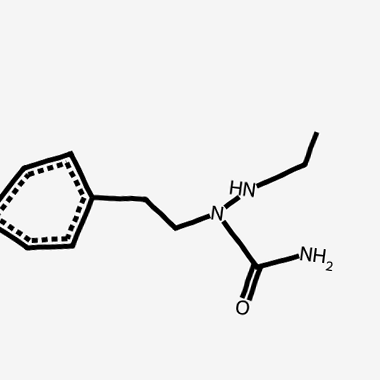 CCNN(CCc1ccccc1)C(N)=O